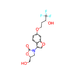 O=C1O[C@H](CO)CN1c1coc2cc(OCC[C@@H](O)C(F)(F)F)ccc12